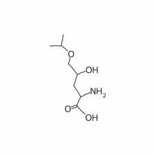 CC(C)OCC(O)CC(N)C(=O)O